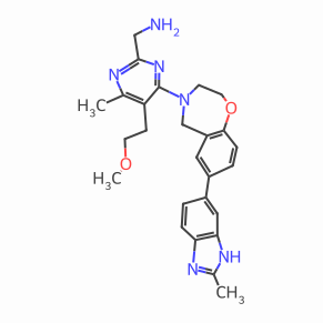 COCCc1c(C)nc(CN)nc1N1CCOc2ccc(-c3ccc4nc(C)[nH]c4c3)cc2C1